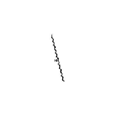 CCCCCCCCCCCNCCCCCCCCCCCCF